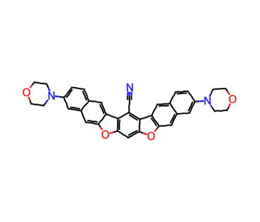 N#Cc1c2c(cc3oc4cc5cc(N6CCOCC6)ccc5cc4c13)oc1cc3cc(N4CCOCC4)ccc3cc12